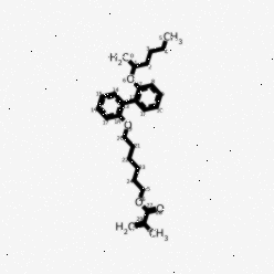 [CH2]C(CCCC)Oc1ccccc1-c1ccccc1OCCCCCCOC(=O)C(=C)C